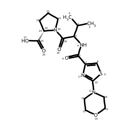 CC(C)C(NC(=O)c1csc(N2CCOCC2)n1)C(=O)N1CCC[C@H]1C(=O)O